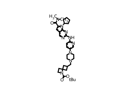 CN(C)C(=O)c1cc2cnc(Nc3ccc(N4CCN(CC5CC6(CCN6C(=O)OC(C)(C)C)C5)CC4)cn3)nc2n1C1CCCC1